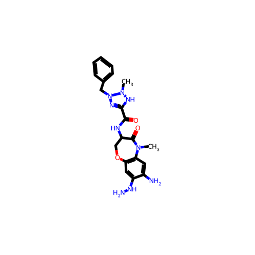 CN1C(=O)C(NC(=O)C2=NN(Cc3ccccc3)N(C)N2)COc2cc(NN)c(N)cc21